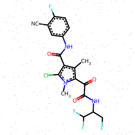 Cc1c(C(=O)Nc2ccc(F)c(C#N)c2)c(Cl)n(C)c1C(=O)C(=O)NC(CF)C(F)F